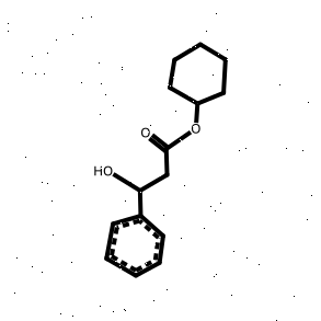 O=C(CC(O)c1ccccc1)OC1CCCCC1